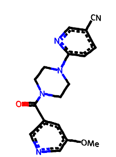 COc1cncc(C(=O)N2CCN(c3ccc(C#N)cn3)CC2)c1